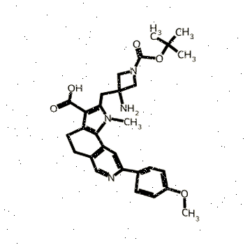 COc1ccc(-c2cc3c(cn2)CCc2c(C(=O)O)c(CC4(N)CN(C(=O)OC(C)(C)C)C4)n(C)c2-3)cc1